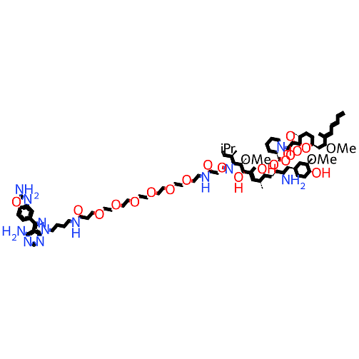 C=C/C=C/C=C(\C)[C@H](C[C@@H]1CC[C@@H](C)[C@](O)(C(=O)C(=O)N2CCCC[C@H]2C(=O)O[C@@H](C[C@@H](O)[C@H](C)/C=C(\C)[C@@H](O)[C@@H](OC)/C(=N/OCC(=O)NCCOCCOCCOCCOCCOCCOCCC(=O)NCCCCn2nc(-c3ccc4oc(N)nc4c3)c3c(N)ncnc32)[C@H](C)CC(C)C)[C@H](N)C[C@@H]2CC[C@@H](O)[C@H](OC)C2)O1)OC